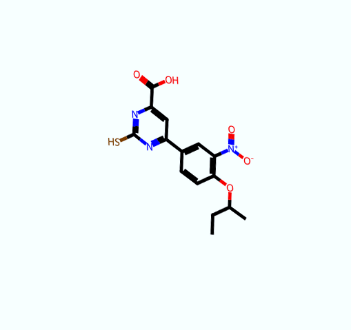 CCC(C)Oc1ccc(-c2cc(C(=O)O)nc(S)n2)cc1[N+](=O)[O-]